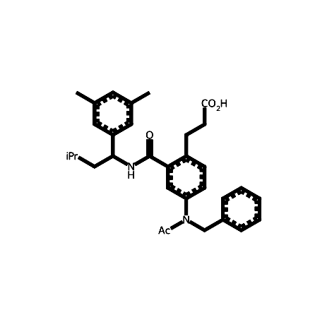 CC(=O)N(Cc1ccccc1)c1ccc(CCC(=O)O)c(C(=O)NC(CC(C)C)c2cc(C)cc(C)c2)c1